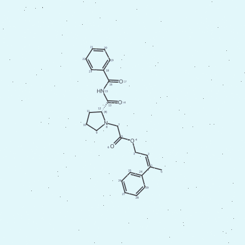 CC(=CCOC(=O)CN1CCC[C@@H]1C(=O)NC(=O)c1ccccc1)c1ccccc1